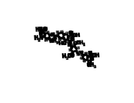 COc1cc(N=Nc2c(S(=O)(=O)O)cc3ccc(N=Nc4cc(S(=O)(=O)O)c(N)cc4N)cc3c2O)c(OC)cc1N=Nc1ccc(OC)c(S(=O)(=O)O)c1